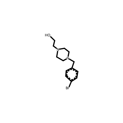 OCCN1CCN(Cc2ccc(Br)cc2)CC1